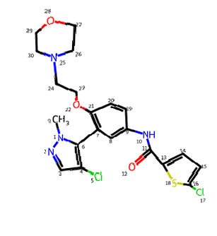 Cn1ncc(Cl)c1-c1cc(NC(=O)c2ccc(Cl)s2)ccc1OCCN1CCOCC1